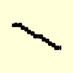 CCCCOCCOCCOCCOCCOCCOc1ccc(OCCOCCOCCOCCOCCO)cc1